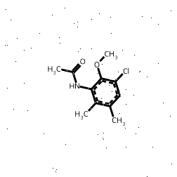 COc1c(Cl)cc(C)c(C)c1NC(C)=O